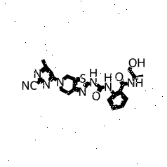 Cc1cc(N2CCc3nc(NC(=O)Nc4ccccc4C(=O)N[C@H](C)CO)sc3C2)nc(C#N)n1